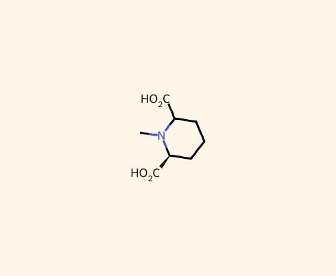 CN1C(C(=O)O)CCC[C@H]1C(=O)O